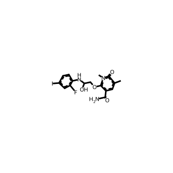 Cc1cc(C(N)=O)c(OCC(O)Nc2ccc(I)cc2F)n(C)c1=O